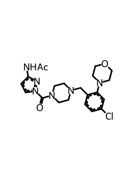 CC(=O)Nc1ccn(C(=O)N2CCN(Cc3ccc(Cl)cc3N3CCOCC3)CC2)n1